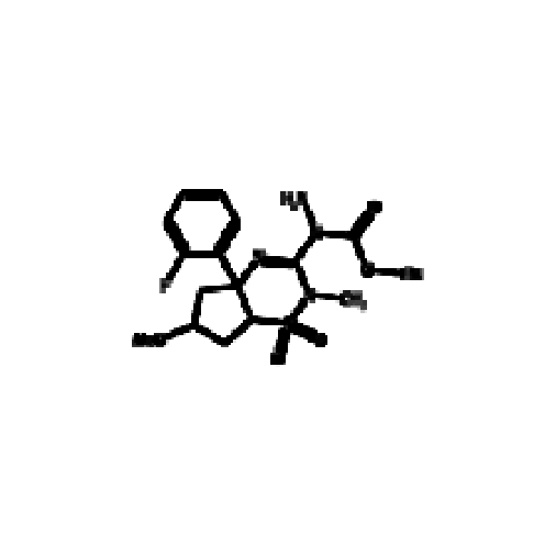 COC1CC2C(c3ccccc3F)(C1)N=C(N(N)C(=O)OC(C)(C)C)N(C)S2(=O)=O